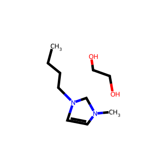 CCCCN1C=CN(C)C1.OCCO